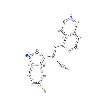 N#C/C(=C\c1cccc2cnccc12)c1c[nH]c2ccc(Br)cc12